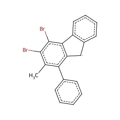 Cc1c(Br)c(Br)c2c(c1-c1ccccc1)[CH]c1ccccc1-2